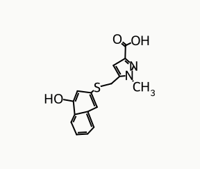 Cn1nc(C(=O)O)cc1CSc1cc(O)c2ccccc2c1